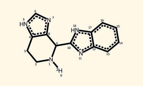 [2H]N1CCc2[nH]cnc2C1c1nc2ccccc2[nH]1